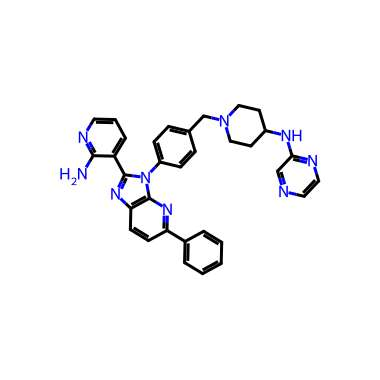 Nc1ncccc1-c1nc2ccc(-c3ccccc3)nc2n1-c1ccc(CN2CCC(Nc3cnccn3)CC2)cc1